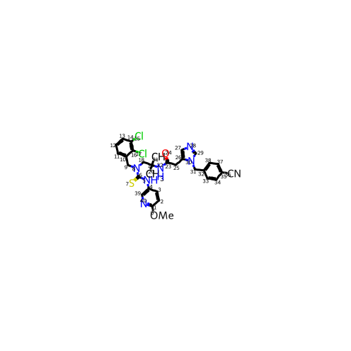 COc1ccc(NC(=S)N(Cc2cccc(Cl)c2Cl)CC(C)(C)NC(=O)Cc2cncn2Cc2ccc(C#N)cc2)cn1